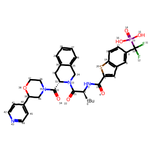 CC(C)(C)[C@H](NC(=O)c1cc2cc(C(F)(F)P(=O)(O)O)ccc2s1)C(=O)N1Cc2ccccc2C[C@H]1C(=O)N1CCOC(c2ccncc2)C1